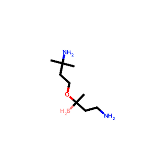 BC(C)(CCN)OCCC(C)(C)N